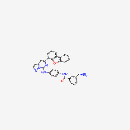 NCc1cccc(C(=O)Nc2ccc(Nc3nc(-c4cccc5c4oc4ccccc45)cc4ccnn34)cc2)c1